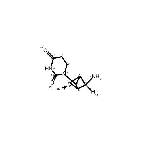 N[C@H]1C2CC1[C@H]2N1CCC(=O)NC1=O